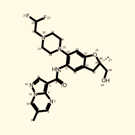 Cc1cnc2c(C(=O)Nc3cc4c(cc3N3CCN(CC(F)F)CC3)O[C@@](C)(CO)C4)cnn2c1